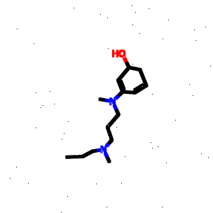 CCCN(C)CCCN(C)C1=CC(O)CC=C1